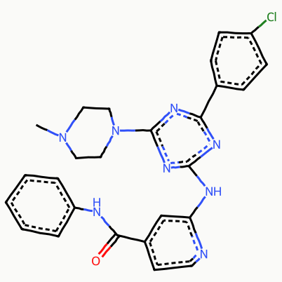 CN1CCN(c2nc(Nc3cc(C(=O)Nc4ccccc4)ccn3)nc(-c3ccc(Cl)cc3)n2)CC1